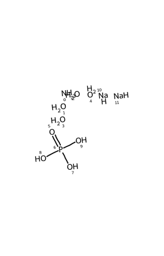 N.O.O.O.O.O=P(O)(O)O.[NaH].[NaH]